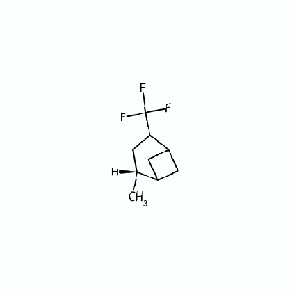 C[C@@H]1CC(C(F)(F)F)C2CC1C2